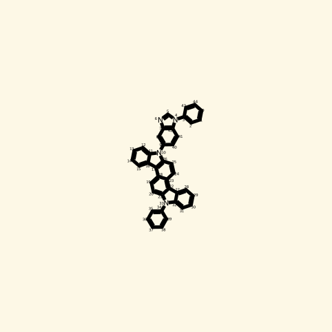 c1ccc(-n2cnc3cc(-n4c5ccccc5c5c6ccc7c(c6ccc54)c4ccccc4n7-c4ccccc4)ccc32)cc1